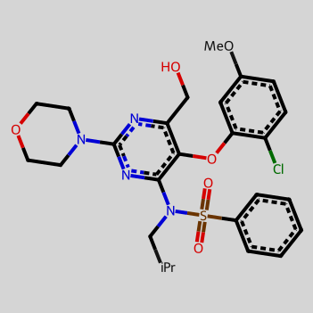 COc1ccc(Cl)c(Oc2c(CO)nc(N3CCOCC3)nc2N(CC(C)C)S(=O)(=O)c2ccccc2)c1